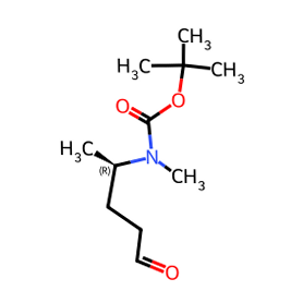 C[C@H](CCC=O)N(C)C(=O)OC(C)(C)C